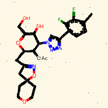 CC(=O)OC1C(CC2=NOC3(CCOCC3)C2)OC(CO)C(O)C1n1cc(-c2ccc(C)c(F)c2F)nn1